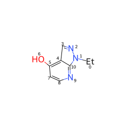 CCn1ncc2c(O)ccnc21